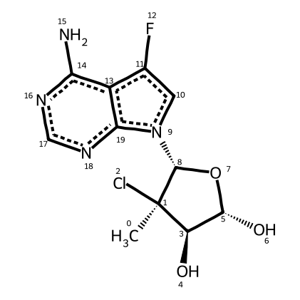 C[C@@]1(Cl)[C@H](O)[C@@H](O)O[C@H]1n1cc(F)c2c(N)ncnc21